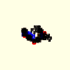 CC1(C)C(=O)N(c2ccc(C#N)c(C(F)(F)F)c2)C(=S)N1Cc1ccc(C(=O)NCc2ccc(C(=O)Nc3ccccc3N)cc2)cc1